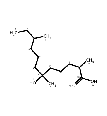 CCC(C)CCCC(C)(O)CCCC(C)C(=O)O